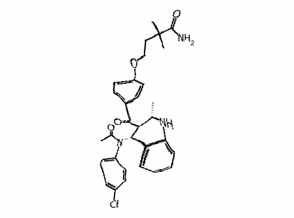 CC(=O)N(c1ccc(Cl)cc1)[C@H]1c2ccccc2N[C@@H](C)C1C(=O)c1ccc(OCCC(C)(C)C(N)=O)cc1